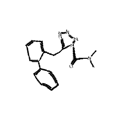 CN(C)C(=O)n1nnnc1Cc1ccccc1-c1ccccc1